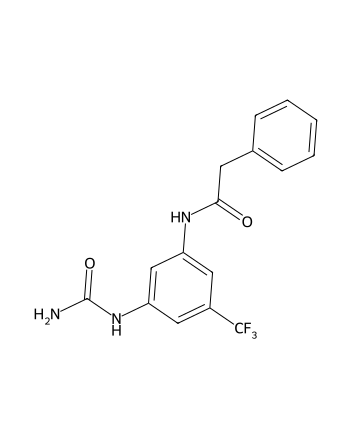 NC(=O)Nc1cc(NC(=O)Cc2ccccc2)cc(C(F)(F)F)c1